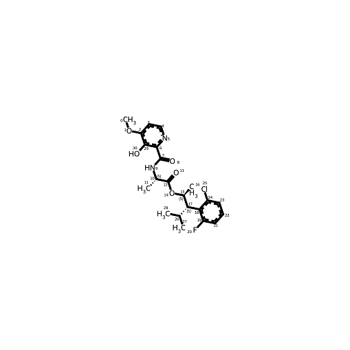 COc1ccnc(C(=O)N[C@@H](C)C(=O)O[C@@H](C)[C@H](c2c(F)cccc2Cl)C(C)C)c1O